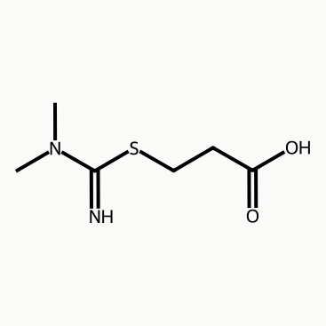 CN(C)C(=N)SCCC(=O)O